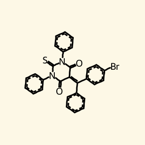 O=C1C(=C(c2ccccc2)c2ccc(Br)cc2)C(=O)N(c2ccccc2)C(=S)N1c1ccccc1